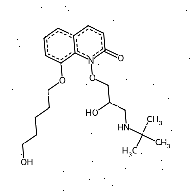 CC(C)(C)NCC(O)COn1c(=O)ccc2cccc(OCCCCCO)c21